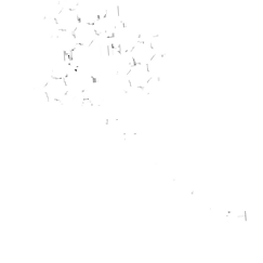 CCCCCCCCCCCCCCCCOC(=O)c1ccccc1N=Nc1cc(C(=O)Nc2cccc3ccccc23)c(O)c2ccccc12